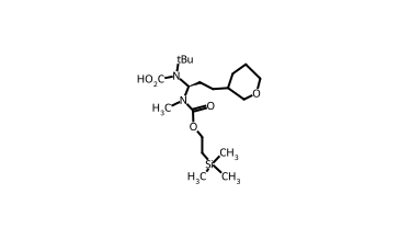 CN(C(=O)OCC[Si](C)(C)C)[C@H](CCC1CCCOC1)N(C(=O)O)C(C)(C)C